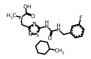 CC1CCCCC1.CN(Cc1nsc(NC(=O)NCc2cccc(F)c2)n1)C(=O)O